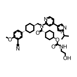 COc1ccc([C@H]2CC[C@H](CN(c3cc(-c4cnn(C(C)C)c4)ccn3)C(=O)[C@H]3CC[C@H](OC(=O)NCCO)CC3)CC2)cc1C#N